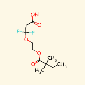 CCC(C)(C)C(=O)OCCOC(F)(F)CC(=O)O